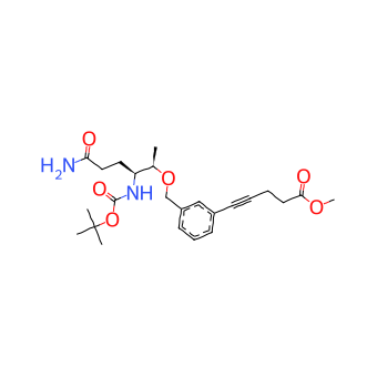 COC(=O)CCC#Cc1cccc(CO[C@H](C)[C@H](CCC(N)=O)NC(=O)OC(C)(C)C)c1